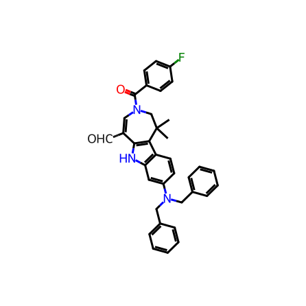 CC1(C)CN(C(=O)c2ccc(F)cc2)C=C(C=O)c2[nH]c3cc(N(Cc4ccccc4)Cc4ccccc4)ccc3c21